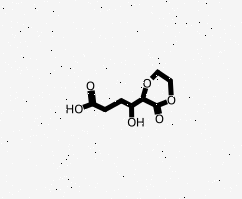 O=C(O)CCC(O)C1OCCOC1=O